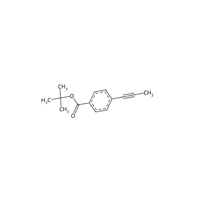 CC#Cc1ccc(C(=O)OC(C)(C)C)cc1